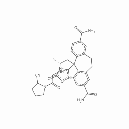 C[C@H](CC1(c2nc(=O)o[nH]2)c2ccc(C(N)=O)cc2CCc2cc(C(N)=O)ccc21)NCC(=O)N1CCCC1C#N